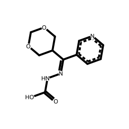 O=C(O)NN=C(c1cccnc1)C1COCOC1